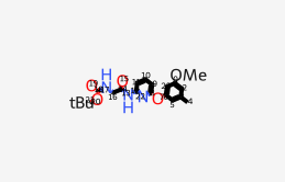 COc1cc(C)cc(Oc2cccc(NC(=O)CNC(=O)OC(C)(C)C)n2)c1